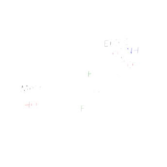 CCOC(=O)NS(=O)(=O)c1ccc(Oc2c(F)cc(/C=C(\C)C(O)OC)cc2F)cc1